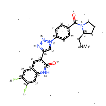 CNC[C@@H]1CCCN1C(=O)c1ccc(-n2cc(-c3cc4cc(F)c(F)cc4[nH]c3=O)nn2)cc1